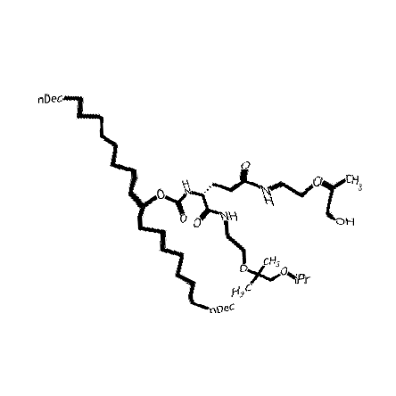 CCCCCCCCCCCCCCCCCCC(CCCCCCCCCCCCCCCCC)OC(=O)N[C@H](CCC(=O)NCCOC(C)CO)C(=O)NCCOC(C)(C)COC(C)C